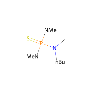 CCCCN(C)P(=S)(NC)NC